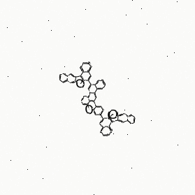 c1ccc2cc3c(cc2c1)oc1c(-c2ccc4c(c2)Oc2cccc5c2c-4cc2c4ccccc4c(-c4cc6ccccc6c6c4oc4cc7ccccc7cc46)cc52)cc2ccccc2c13